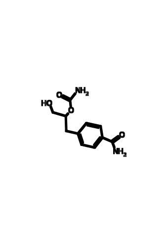 NC(=O)OC(CO)Cc1ccc(C(N)=O)cc1